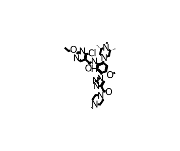 CCOc1ncc(C(=O)Nc2cc(-n3cc(C(=O)N4CCN(C)CC4)nn3)c(OC)cc2N2C[C@@H](C)N(C)[C@@H](C)C2)c(Cl)n1